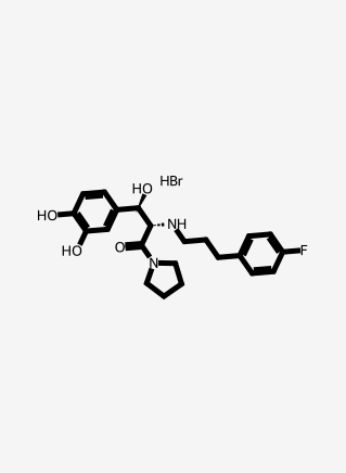 Br.O=C([C@@H](NCCCc1ccc(F)cc1)[C@H](O)c1ccc(O)c(O)c1)N1CCCC1